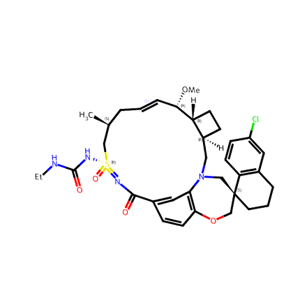 CCNC(=O)N[S@@]1(=O)=NC(=O)c2ccc3c(c2)N(C[C@@H]2CC[C@H]2[C@@H](OC)/C=C/C[C@H](C)C1)C[C@@]1(CCCc2cc(Cl)ccc21)CO3